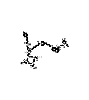 N#C[C@H]1CC(F)(F)CN1C(=O)CNC(=O)c1ccnc2ccc(OCCCCC3CCN(C(=O)CCCCCNC(=O)[C@H](CCCNC(=O)CCCc4ccc(I)cc4)NC(=O)CN4CCN(CC(=O)O)CCN(CC(=O)O)CCN(CC(=O)O)CC4)CC3)cc12